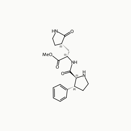 COC(=O)[C@H](C[C@@H]1CCNC1=O)NC(=O)[C@H]1NCC[C@@H]1c1ccccc1